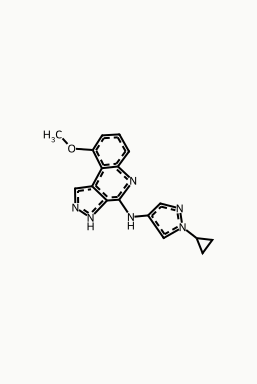 COc1cccc2nc(Nc3cnn(C4CC4)c3)c3[nH]ncc3c12